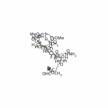 COc1cc2cc(c1Cl)N(C)C(=O)C[C@H](OC(=O)Nc1cc(F)c(NC(=O)[C@H](CCCNC(N)=O)NC(=O)[C@@H](NC(=O)CCCCC(C)(C)OC(C=O)(CBr)CBr)C(C)C)cc1Cl)[C@@H](C)[C@@H](O)[C@H](C)[C@@H]1C[C@@](O)(NC(=O)O1)[C@H](OC)/C=C/C=C(\C)C2